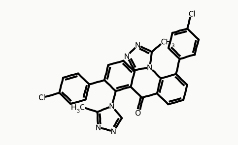 Cc1nncn1-c1c(C(=O)c2cccc(-c3ccc(Cl)cc3)c2-n2cnnc2C)cccc1-c1ccc(Cl)cc1